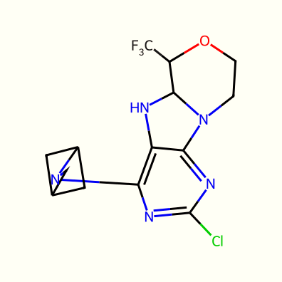 FC(F)(F)C1OCCN2c3nc(Cl)nc(N4CC5CC4C5)c3NC12